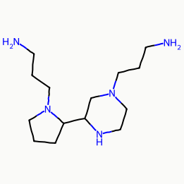 NCCCN1CCNC(C2CCCN2CCCN)C1